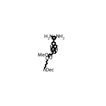 CCCCCCCCCCCCCCCCOC(=O)C(C[C@@H](C)[C@H]1CC[C@H]2[C@@H]3CCC4CC(c5cc(N)cc(N)c5)CC[C@]4(C)[C@H]3CC[C@]12C)OC